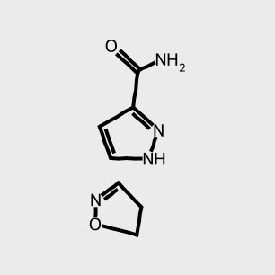 C1=NOCC1.NC(=O)c1cc[nH]n1